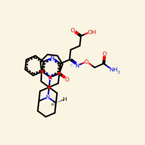 NC(=O)CO/N=C(\CCC(=O)O)c1nc2ccccc2n(C2CC3CCC[C@H](C2)N3C2CC3CCCCC(C3)C2)c1=O